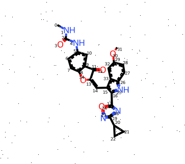 CNC(=O)Nc1ccc2c(c1)C(=O)C(=Cc1c(-c3nc(C4CC4)no3)[nH]c3ccc(OC)cc13)O2